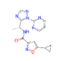 C[C@@H](NC(=O)c1cc(C2CC2)on1)c1ncnn1-c1ncccn1